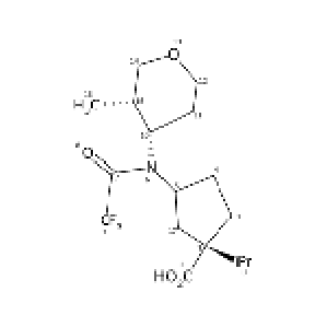 CC(C)[C@]1(C(=O)O)CCC(N(C(=O)C(F)(F)F)[C@H]2CCOC[C@H]2C)C1